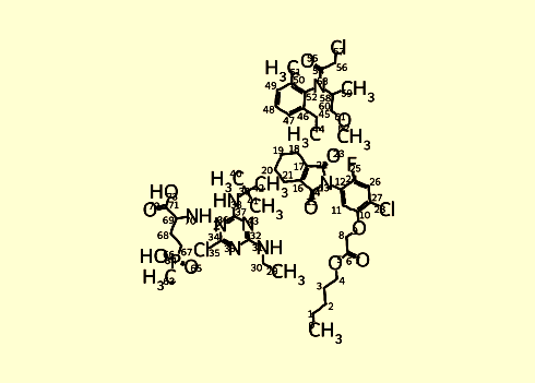 CCCCCOC(=O)COc1cc(N2C(=O)C3=C(CCCC3)C2=O)c(F)cc1Cl.CCNc1nc(Cl)nc(NC(C)(C)C)n1.CCc1cccc(C)c1N(C(=O)CCl)C(C)COC.CP(=O)(O)CCC(N)C(=O)O